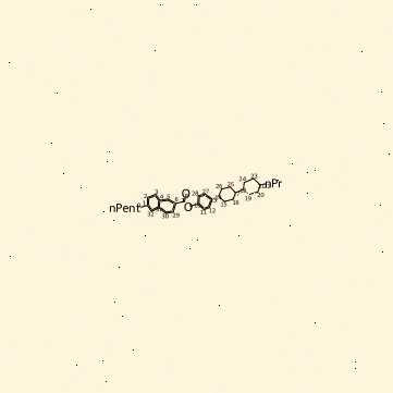 CCCCCc1ccc2cc(C(=O)Oc3ccc([C@H]4CC[C@H]([C@H]5CC[C@H](CCC)CC5)CC4)cc3)ccc2c1